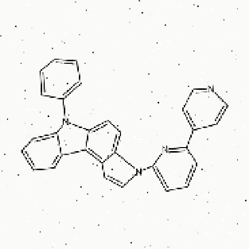 c1ccc(-n2c3ccccc3c3c4ccn(-c5cccc(-c6ccncc6)n5)c4ccc32)cc1